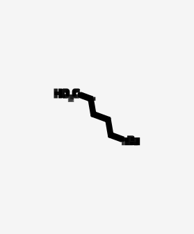 CCCCCCC[CH]C(=O)O